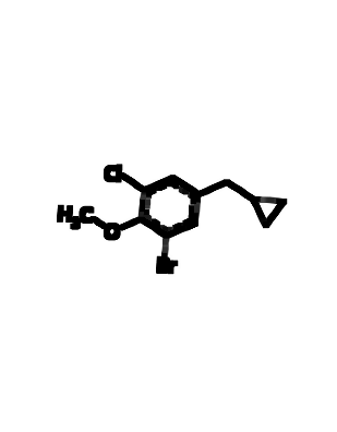 COc1c(Cl)cc(CC2CC2)cc1Br